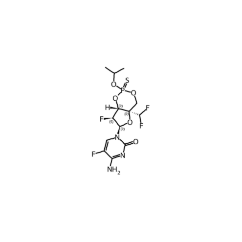 CC(C)OP1(=S)OC[C@@]2(C(F)F)O[C@@H](n3cc(F)c(N)nc3=O)[C@@H](F)[C@@H]2O1